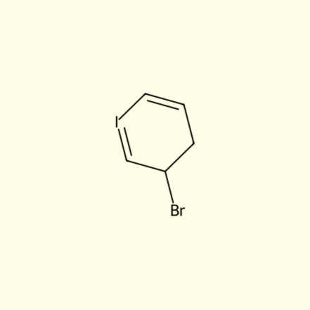 BrC1C=IC=CC1